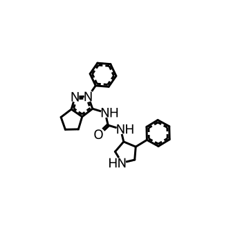 O=C(Nc1c2c(nn1-c1ccccc1)CCC2)NC1CNCC1c1ccccc1